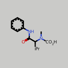 CC(C)C(C(=O)Nc1ccccc1)N(C)C(=O)O